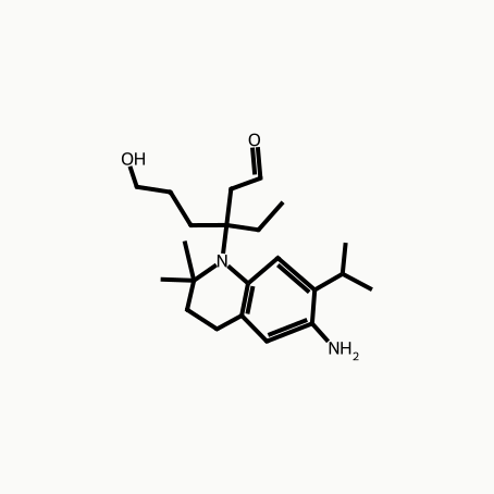 CCC(CC=O)(CCCO)N1c2cc(C(C)C)c(N)cc2CCC1(C)C